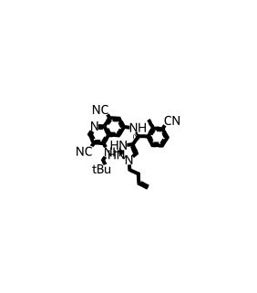 C=CCCN1C=C([C@@H](Nc2cc(C#N)c3ncc(C#N)c(NCC(C)(C)C)c3c2)c2cccc(C#N)c2C)NN1